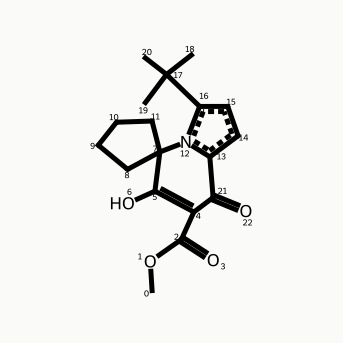 COC(=O)C1=C(O)C2(CCCC2)n2c(ccc2C(C)(C)C)C1=O